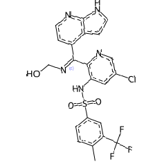 Cc1ccc(S(=O)(=O)Nc2cc(Cl)cnc2/C(=N/CO)c2ccnc3[nH]ccc23)cc1C(F)(F)F